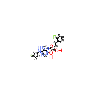 O[C@@H]1[C@H](O)C(C=Cc2ccccc2F)O[C@H]1n1cnc2c(NC3CCC(F)C3)ncnc21